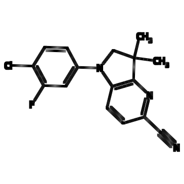 CC1(C)CN(c2ccc(Cl)c(F)c2)c2ccc(C#N)nc21